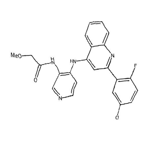 COCC(=O)Nc1cnccc1Nc1cc(-c2cc(Cl)ccc2F)nc2ccccc12